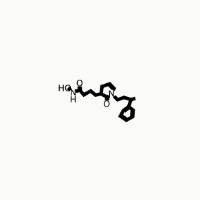 CC(CCN1C=CCC(CCCC(=O)NO)C1=O)c1ccccc1